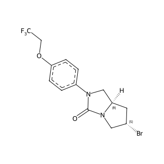 O=C1N(c2ccc(OCC(F)(F)F)cc2)C[C@H]2C[C@H](Br)CN12